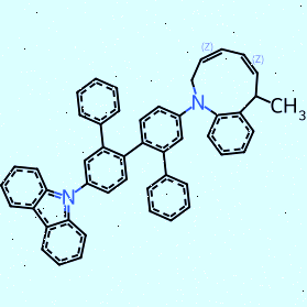 CC1/C=C\C=C/CN(c2ccc(-c3ccc(-n4c5ccccc5c5ccccc54)cc3-c3ccccc3)c(-c3ccccc3)c2)c2ccccc21